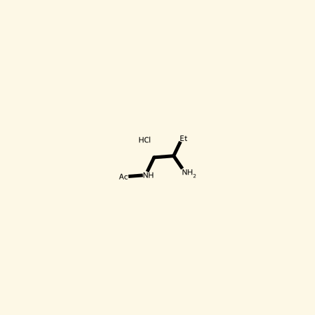 CCC(N)CNC(C)=O.Cl